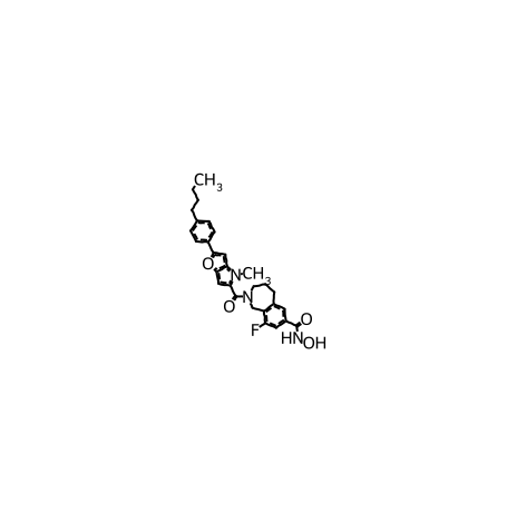 CCCCc1ccc(-c2cc3c(cc(C(=O)N4CCCc5cc(C(=O)NO)cc(F)c5C4)n3C)o2)cc1